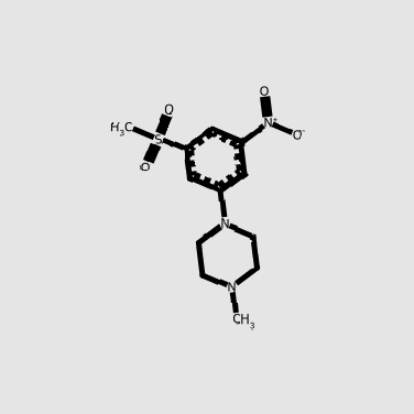 CN1CCN(c2cc([N+](=O)[O-])cc(S(C)(=O)=O)c2)CC1